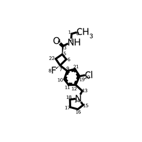 CCNC(=O)[C@H]1C[C@@](F)(c2ccc(CN3CCCC3)c(Cl)c2)C1